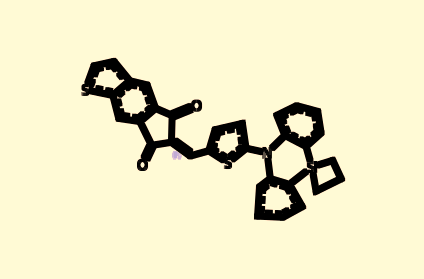 O=C1/C(=C\c2ccc(N3c4ccccc4[Si]4(CCC4)c4ccccc43)s2)C(=O)c2cc3sccc3cc21